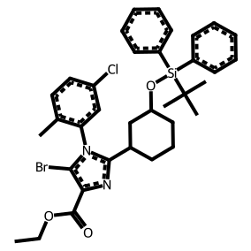 CCOC(=O)c1nc(C2CCCC(O[Si](c3ccccc3)(c3ccccc3)C(C)(C)C)C2)n(-c2cc(Cl)ccc2C)c1Br